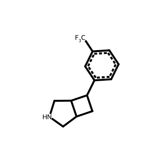 FC(F)(F)c1cccc(C2CC3CNCC32)c1